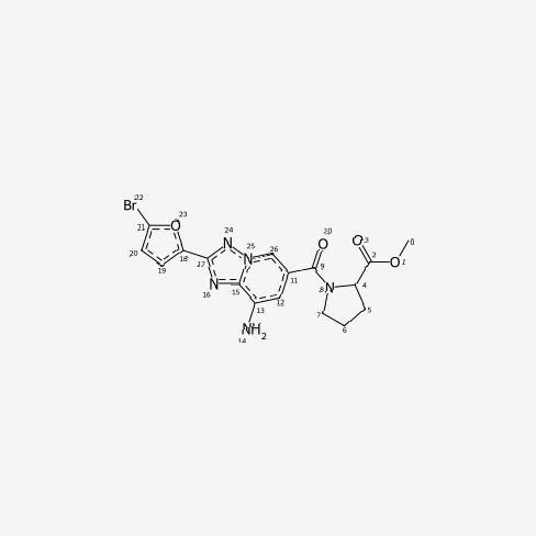 COC(=O)C1CCCN1C(=O)c1cc(N)c2nc(-c3ccc(Br)o3)nn2c1